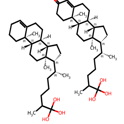 CC(CCC[C@@H](C)[C@H]1CC[C@H]2[C@@H]3CCC4=CC(=O)CC[C@]4(C)[C@H]3CC[C@]12C)C(O)(O)O.CC(CCC[C@@H](C)[C@H]1CC[C@H]2[C@@H]3CCC4=CCCC[C@]4(C)[C@H]3CC[C@]12C)C(O)(O)O